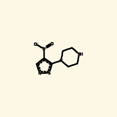 O=[N+]([O-])c1cnsc1N1CCBCC1